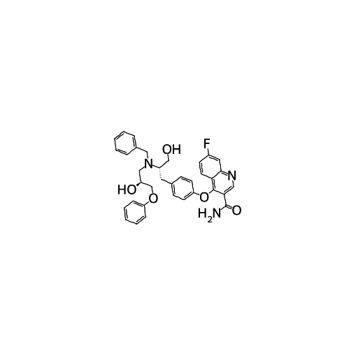 NC(=O)c1cnc2cc(F)ccc2c1Oc1ccc(C[C@@H](CO)N(Cc2ccccc2)C[C@H](O)COc2ccccc2)cc1